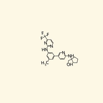 Cc1cc(Nc2nccc(C(F)(F)F)n2)cc(-c2ccc(NC3(CO)CCCC3)nc2)c1